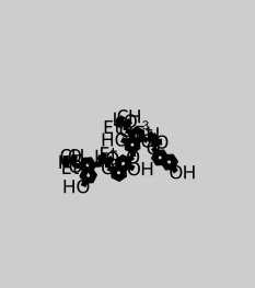 CCC(C)(I)C(=O)Oc1ccc(CC(I)(CC)C(=O)Oc2cccc3c(O)c(Oc4cc(O)c5c(OC(=O)C(C)(I)CC)ccc(OC(I)(CC)C(=O)Oc6ccc7cc(O)ccc7c6)c5c4)ccc23)c2ccc(O)cc12